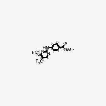 CCNc1nc(Nc2ccc(C(=O)OC)cc2)ncc1C(F)(F)F